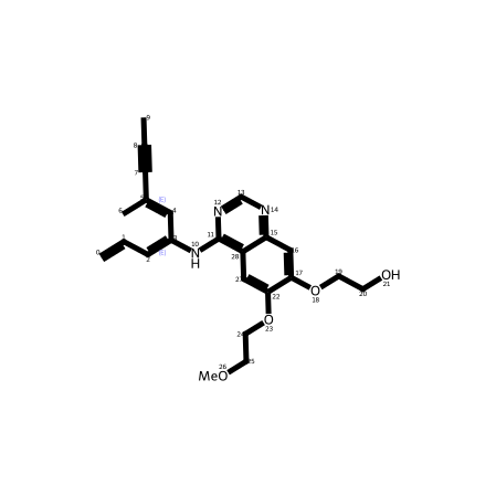 C=C/C=C(\C=C(/C)C#CC)Nc1ncnc2cc(OCCO)c(OCCOC)cc12